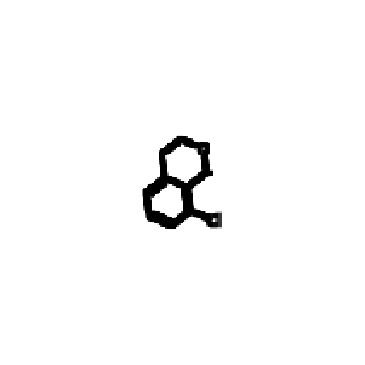 Clc1cccc2c1[CH]OCC2